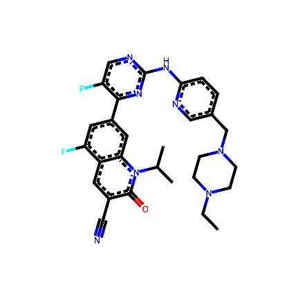 CCN1CCN(Cc2ccc(Nc3ncc(F)c(-c4cc(F)c5cc(C#N)c(=O)n(C(C)C)c5c4)n3)nc2)CC1